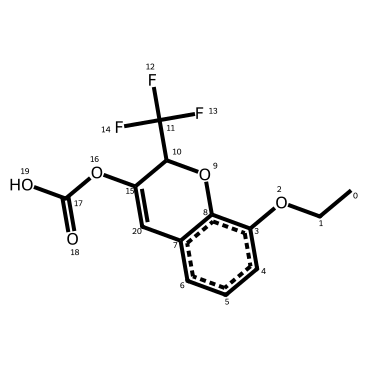 CCOc1cccc2c1OC(C(F)(F)F)C(OC(=O)O)=C2